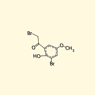 COc1cc(Br)c(O)c(C(=O)CBr)c1